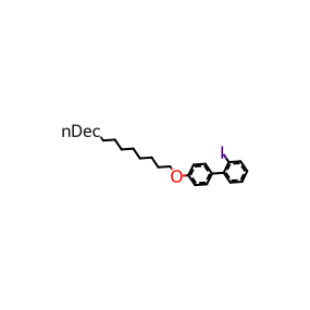 CCCCCCCCCCCCCCCCCCOc1ccc(-c2ccccc2I)cc1